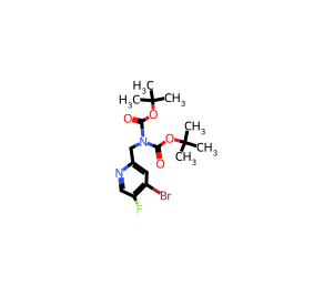 CC(C)(C)OC(=O)N(Cc1cc(Br)c(F)cn1)C(=O)OC(C)(C)C